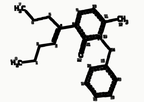 CCCC=C(CCC)c1ccc(C)n(Cc2ccccc2)c1=O